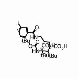 CC(C)(C)OC(=O)N[C@@](C(=O)O)(C([C@H](CCCNC(=O)c1ccnc(I)c1)C(=O)O)C(C)(C)C)C(C)(C)C